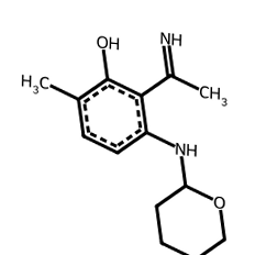 CC(=N)c1c(NC2CCCCO2)ccc(C)c1O